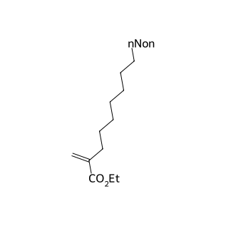 C=C(CCCCCCCCCCCCCCCC)C(=O)OCC